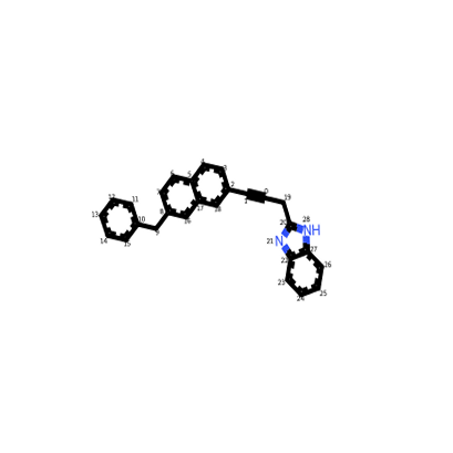 C(#Cc1ccc2ccc(Cc3ccccc3)cc2c1)Cc1nc2ccccc2[nH]1